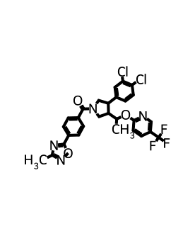 Cc1noc(-c2ccc(C(=O)N3CC(c4ccc(Cl)c(Cl)c4)C(C(C)Oc4ccc(C(F)(F)F)cn4)C3)cc2)n1